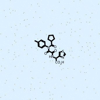 Cc1ccc(N(C(=O)C(=O)NC(C(=O)O)c2cscn2)C(=O)C2CCCC2)cc1